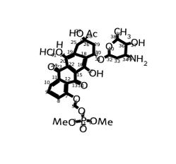 COP(=O)(OC)OCOc1cccc2c1C(=O)c1c(O)c3c(c(O)c1C2=O)C[C@@](O)(C(C)=O)C[C@@H]3OC1CC(N)C(O)C(C)O1.Cl